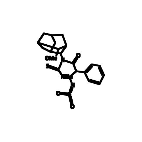 CNC(=S)N(C(=O)C(CN=S(=O)=O)c1ccccc1)C1C2CC3CC(C2)C(OC)C1C3